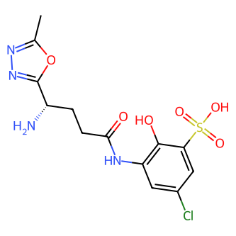 Cc1nnc([C@@H](N)CCC(=O)Nc2cc(Cl)cc(S(=O)(=O)O)c2O)o1